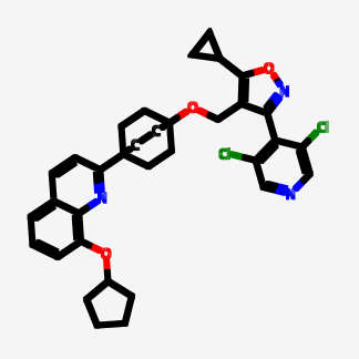 Clc1cncc(Cl)c1-c1noc(C2CC2)c1COC12CCC(c3ccc4cccc(OC5CCCC5)c4n3)(CC1)CC2